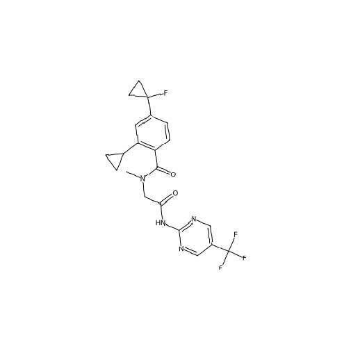 CN(CC(=O)Nc1ncc(C(F)(F)F)cn1)C(=O)c1ccc(C2(F)CC2)cc1C1CC1